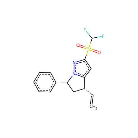 C=C[C@@H]1C[C@H](c2ccccc2)n2nc(S(=O)(=O)C(F)F)cc21